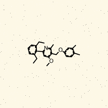 CCc1cccc(CC)c1-c1cc(OC)c(COc2ccc(C)c(C)c2)c(C)n1